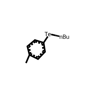 CCCC[Te]c1ccc(C)cc1